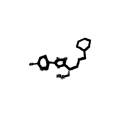 O=C(O)C[C@@H](CCCC1CCCCC1)c1nc(-c2ccc(Cl)nc2)no1